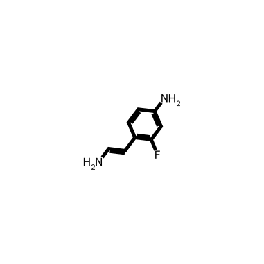 N/C=C/c1ccc(N)cc1F